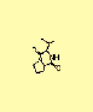 CC(C)C1NC(=O)C2CCCN2C1=O